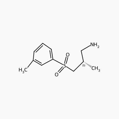 Cc1cccc(S(=O)(=O)C[C@@H](C)CN)c1